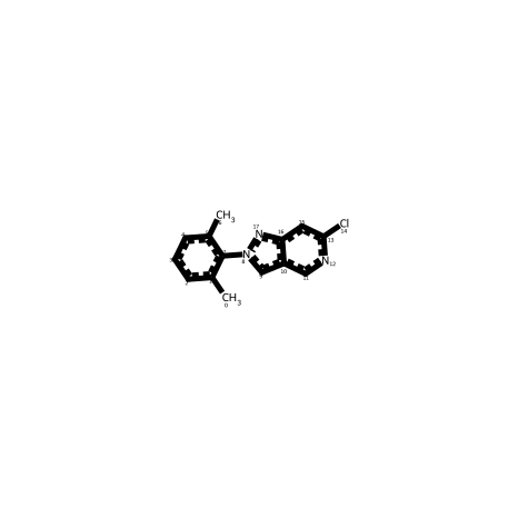 Cc1cccc(C)c1-n1cc2cnc(Cl)cc2n1